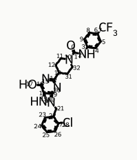 O=C(Nc1ccc(C(F)(F)F)cc1)N1CCC(c2nc(O)c3[nH]n(Cc4ccccc4Cl)c3n2)CC1